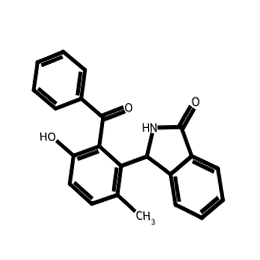 Cc1ccc(O)c(C(=O)c2ccccc2)c1C1NC(=O)c2ccccc21